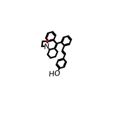 Oc1ccc(C=Cc2ccccc2C(=C2CCCCC2N2CCC2)c2ccccc2)cc1